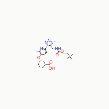 Cc1nc(-c2nnn(C)c2CNC(=O)OCCC(C)(C)C)ccc1O[C@H]1CCC[C@H](C(=O)O)C1